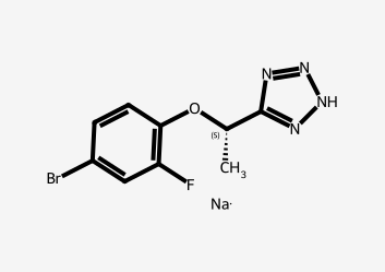 C[C@H](Oc1ccc(Br)cc1F)c1nn[nH]n1.[Na]